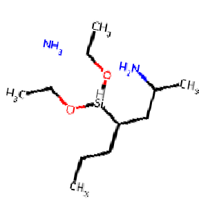 CCCC(CC(C)N)[SiH](OCC)OCC.N